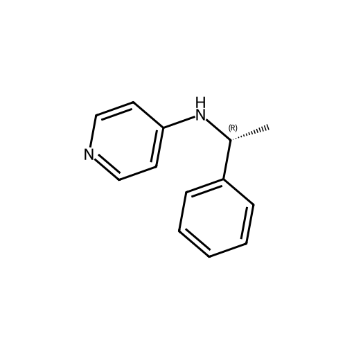 C[C@@H](Nc1ccncc1)c1ccccc1